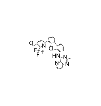 Cc1nc(Nc2cccc(-c3cccc(-c4ccc(C=O)c(C(F)(F)F)n4)c3Cl)c2C)c2ncccc2n1